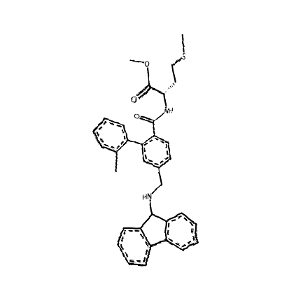 COC(=O)[C@H](CCSC)NC(=O)c1ccc(CNC2c3ccccc3-c3ccccc32)cc1-c1ccccc1C